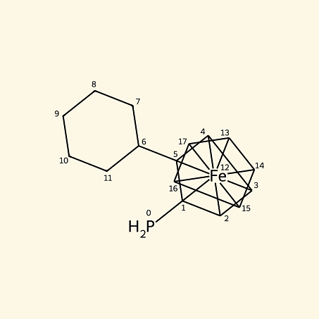 P[C]12[CH]3[CH]4[CH]5[C]1(C1CCCCC1)[Fe]43521678[CH]2[CH]1[CH]6[CH]7[CH]28